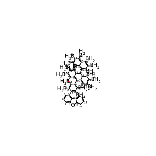 Bc1c(B)c(-c2cccc3oc4ccccc4c23)c(B)c(B)c1-c1c2c(B)c(B)c(B)c(B)c2c(-c2c(B)c(B)c(B)c3c(B)c(B)c(B)c(B)c23)c2c(B)c(B)c(B)c(B)c12